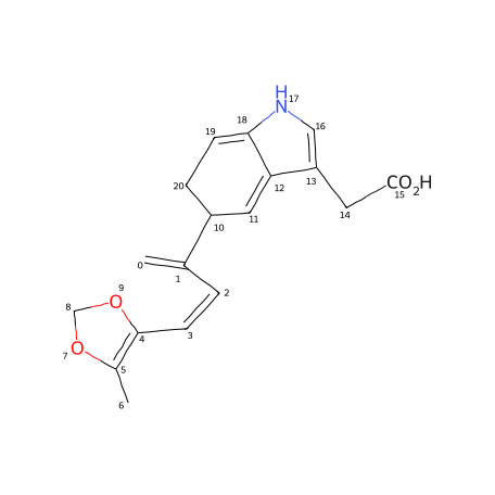 C=C(/C=C\C1=C(C)OCO1)C1C=c2c(CC(=O)O)c[nH]c2=CC1